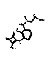 C=C1C(=O)C(Nc2cccc(C(=O)N(C)CC(=O)OC)c2O)=C1OC